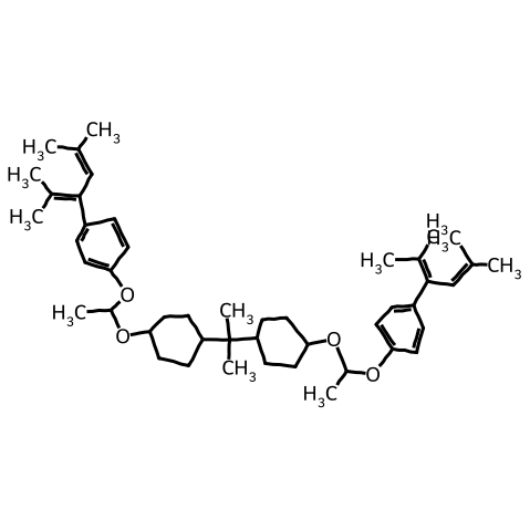 CC(C)=CC(=C(C)C)c1ccc(OC(C)OC2CCC(C(C)(C)C3CCC(OC(C)Oc4ccc(C(C=C(C)C)=C(C)C)cc4)CC3)CC2)cc1